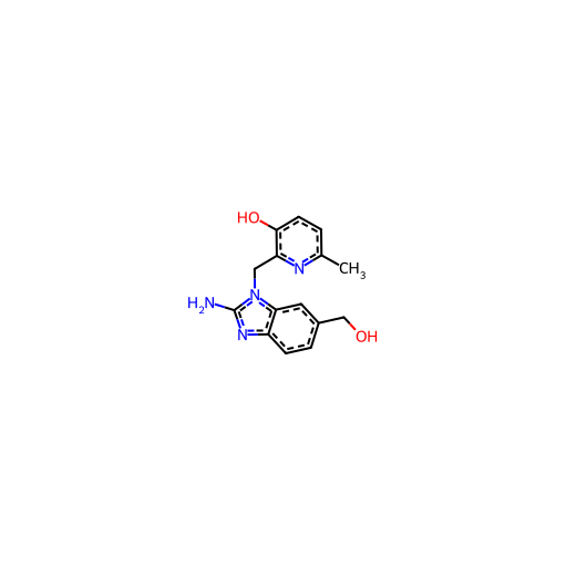 Cc1ccc(O)c(Cn2c(N)nc3ccc(CO)cc32)n1